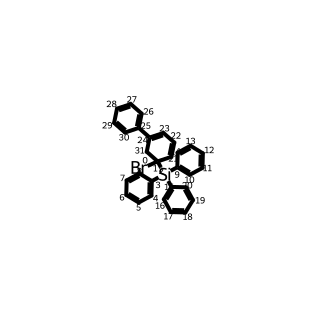 BrC1([Si](c2ccccc2)(c2ccccc2)c2ccccc2)C=CC=C(c2ccccc2)C1